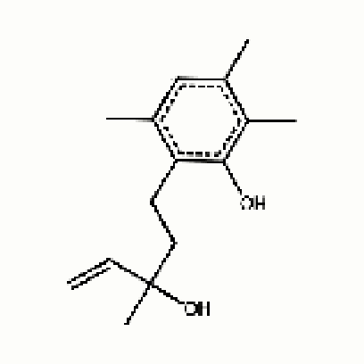 C=CC(C)(O)CCc1c(C)[c]c(C)c(C)c1O